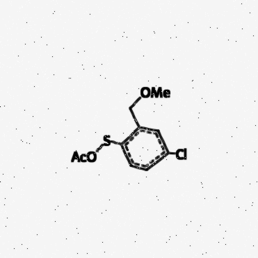 COCc1cc(Cl)ccc1SOC(C)=O